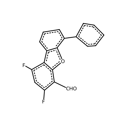 O=Cc1c(F)cc(F)c2c1oc1c(-c3ccccc3)cccc12